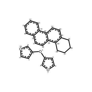 c1cc(Oc2ccoc2)co1.c1ccc2c(c1)ccc1c3c(ccc12)CCCC3